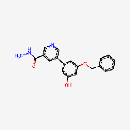 NNC(=O)c1cncc(-c2cc(O)cc(OCc3ccccc3)c2)c1